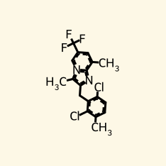 Cc1ccc(Cl)c(Cc2nc3c(C)cc(C(F)(F)F)cn3c2C)c1Cl